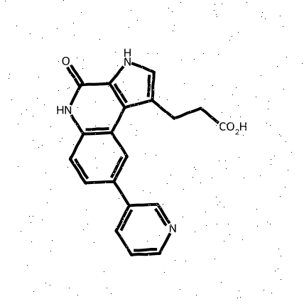 O=C(O)CCc1c[nH]c2c(=O)[nH]c3ccc(-c4cccnc4)cc3c12